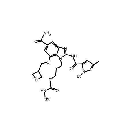 CCn1nc(C)cc1C(=O)Nc1nc2cc(C(N)=O)cc(OCC3COC3)c2n1CCCOC(=O)NC(C)(C)C